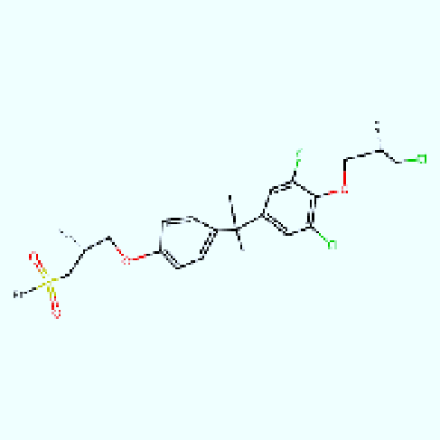 CCS(=O)(=O)C[C@H](C)COc1ccc(C(C)(C)c2cc(Cl)c(OC[C@H](C)CCl)c(Cl)c2)cc1